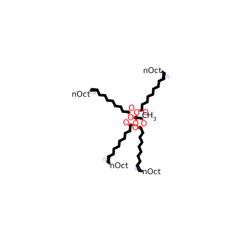 CCCCCCCC/C=C\CCCCCCCC(=O)OC(C)C(OC(=O)CCCCCCC/C=C\CCCCCCCC)(OC(=O)CCCCCCC/C=C\CCCCCCCC)OC(=O)CCCCCCC/C=C\CCCCCCCC